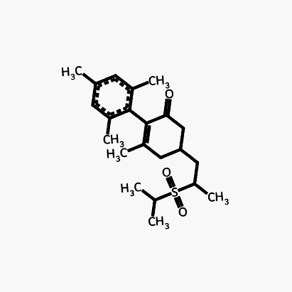 CC1=C(c2c(C)cc(C)cc2C)C(=O)CC(CC(C)S(=O)(=O)C(C)C)C1